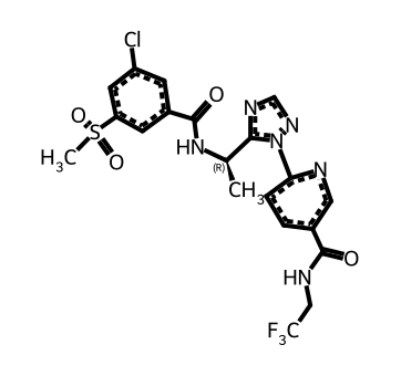 C[C@@H](NC(=O)c1cc(Cl)cc(S(C)(=O)=O)c1)c1ncnn1-c1ccc(C(=O)NCC(F)(F)F)cn1